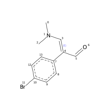 CN(C)/C=C(/C=O)c1ccc(Br)cc1